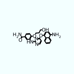 NC(=O)c1ccc(OCCCO)c(Nc2nccc(Oc3ccc(N)c4ccccc34)n2)c1